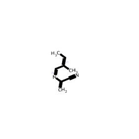 C=C(C#N)/N=C\C(C)=C/C